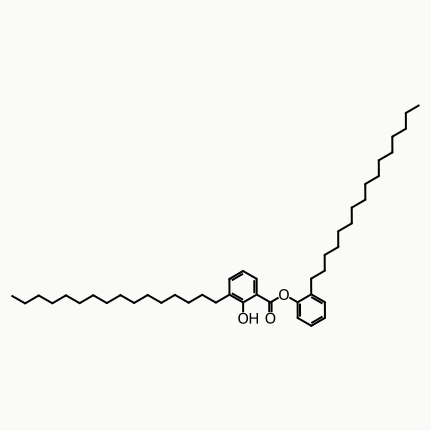 CCCCCCCCCCCCCCCCc1ccccc1OC(=O)c1cccc(CCCCCCCCCCCCCCCC)c1O